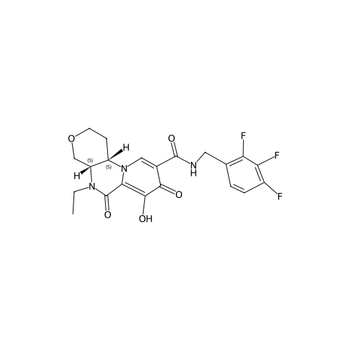 CCN1C(=O)c2c(O)c(=O)c(C(=O)NCc3ccc(F)c(F)c3F)cn2[C@H]2CCOC[C@H]21